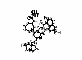 CCc1c(F)ccc2cc(O)cc(N3CCc4c(nc(OC[C@@]56CCCN5C[C@H](F)C6)nc4N4CCCCC(CC(=O)NC)C4)C3)c12